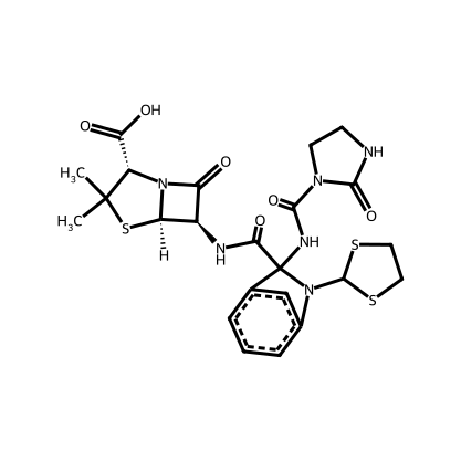 CC1(C)S[C@@H]2[C@H](NC(=O)C3(NC(=O)N4CCNC4=O)c4cccc(c4)N3C3SCCS3)C(=O)N2[C@H]1C(=O)O